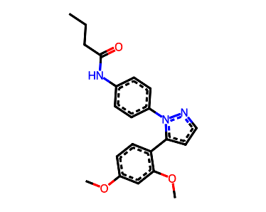 CCCC(=O)Nc1ccc(-n2nccc2-c2ccc(OC)cc2OC)cc1